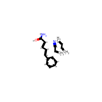 C=CC#N.C=CC=C.NC(=O)C=CC=Cc1ccccc1